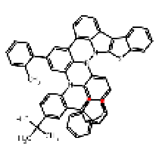 Cc1ccccc1-c1cc2c3c(c1)N(c1ccc(C(C)(C)C)cc1-c1ccccc1)c1c(ccc4oc5ccccc5c14)B3n1c3sc4ccccc4c3c3cccc-2c31